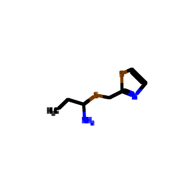 CCC(N)SCc1nccs1